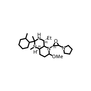 CC[C@H]1NC(C)(C2CCCCC2C)N(C)[C@@H]2CCC(OC)N([C@H]3OC3N3CCCC3)C21